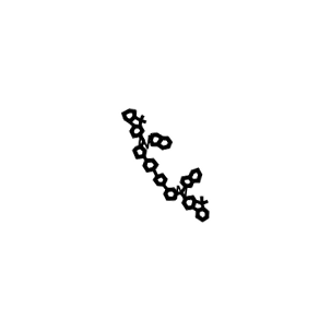 CC1(C)c2ccccc2-c2ccc(N(c3cccc(-c4ccc(-c5ccc(-c6cccc(N(c7ccc8c(c7)C(C)(C)c7ccccc7-8)c7ccc8ccccc8c7)c6)cc5)cc4)c3)c3ccc4ccccc4c3)cc21